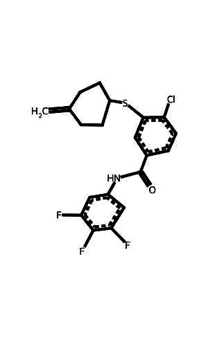 C=C1CCC(Sc2cc(C(=O)Nc3cc(F)c(F)c(F)c3)ccc2Cl)CC1